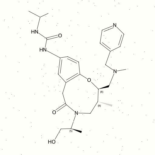 CC(C)NC(=O)Nc1ccc2c(c1)CC(=O)N([C@@H](C)CO)C[C@@H](C)[C@H](CN(C)Cc1ccncc1)O2